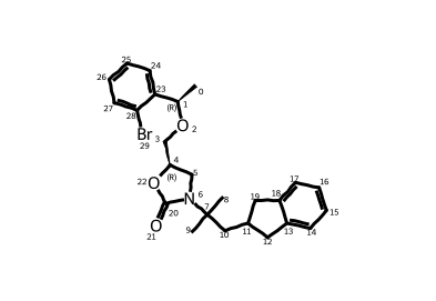 C[C@@H](OC[C@H]1CN(C(C)(C)CC2Cc3ccccc3C2)C(=O)O1)c1ccccc1Br